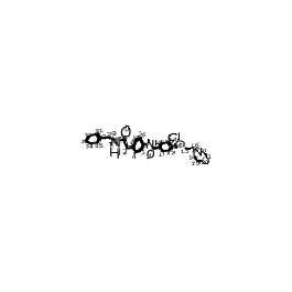 O=C(Cc1ccc(NC(=O)c2ccc(OCCN3CCOCC3)c(Cl)c2)cc1)NCc1ccccc1